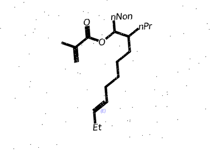 C=C(C)C(=O)OC(CCCCCCCCC)C(CCC)CCCC/C=C/CC